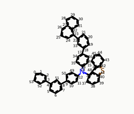 c1ccc(-c2cccc(-c3ccc(N(c4ccc(-c5cccc(-c6cccc7ccccc67)c5)cc4)c4cccc5sc6ccccc6c45)cc3)c2)cc1